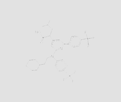 CC(C)CC(C(=O)O)c1cc(-c2ccc(C(F)(F)F)cc2)nc(N(CCC2CCCCC2)c2ccc(C(F)(F)F)cc2)c1